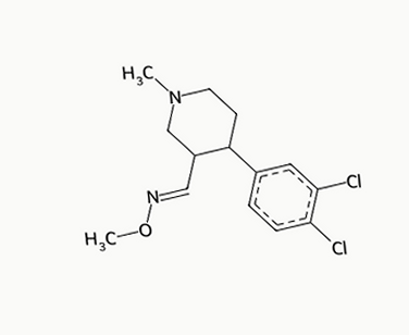 CO/N=C/C1CN(C)CCC1c1ccc(Cl)c(Cl)c1